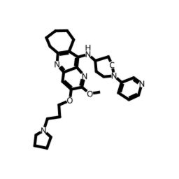 COc1nc2c(NC3CCN(c4cccnc4)CC3)c3c(nc2cc1OCCCN1CCCC1)CCCCC3